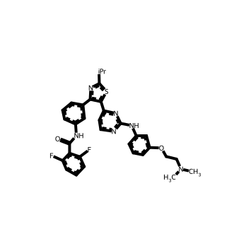 CC(C)c1nc(-c2cccc(NC(=O)c3c(F)cccc3F)c2)c(-c2ccnc(Nc3cccc(OCCN(C)C)c3)n2)s1